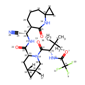 CC(C)(C)[C@H](NC(=O)C(F)(F)F)C(=O)N1C[C@@H]2C[C@@H]2C[C@H]1C(=O)N[C@H](C#N)C1CCCC2(CC2)NC1=O